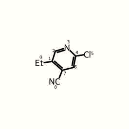 CCc1cnc(Cl)cc1C#N